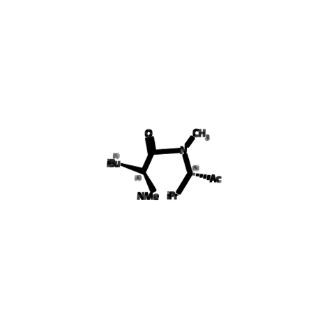 CC[C@H](C)[C@H](NC)C(=O)N(C)[C@H](C(C)=O)C(C)C